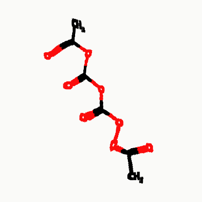 CC(=O)OOC(=O)OC(=O)OC(C)=O